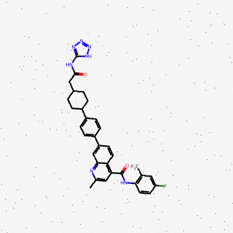 Cc1cc(C(=O)Nc2ccc(F)cc2C(F)(F)F)c2ccc(-c3ccc(C4CCC(CC(=O)Nc5nnn[nH]5)CC4)cc3)cc2n1